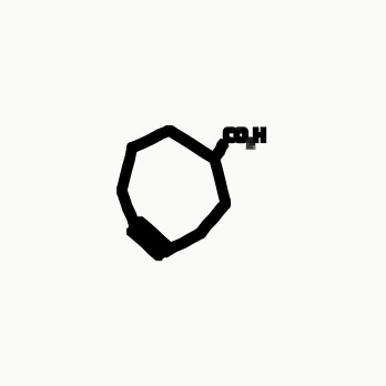 O=C(O)C1CCC#CCCC1